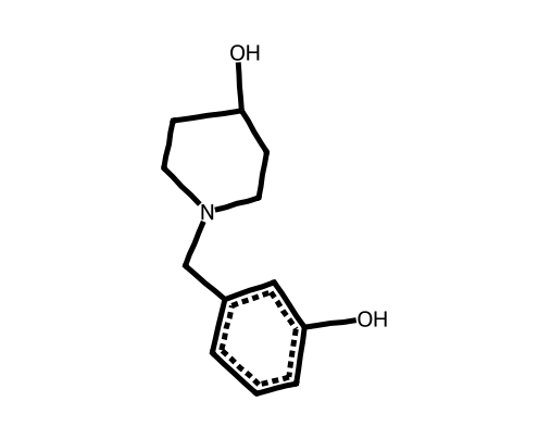 Oc1cccc(CN2CCC(O)CC2)c1